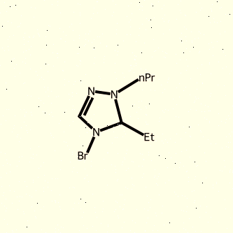 CCCN1N=CN(Br)C1CC